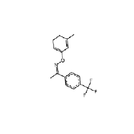 CC1=CC(ON=C(C)c2ccc(C(F)(F)F)cc2)=CC[CH]1